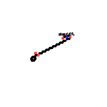 CC(C)(C)OC(=O)N1[C@@H](CCCCCCCCCCCCCCCCOC(=O)c2ccccc2)COC1(C)C